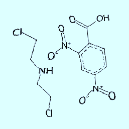 ClCCNCCCl.O=C(O)c1ccc([N+](=O)[O-])cc1[N+](=O)[O-]